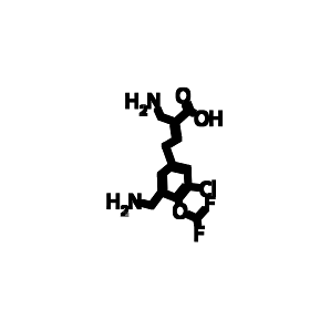 NC/C(=C\Cc1cc(Cl)c(OC(F)F)c(CN)c1)C(=O)O